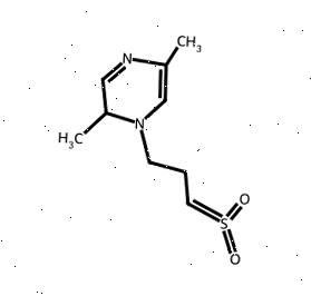 CC1=CN(CCC=S(=O)=O)C(C)C=N1